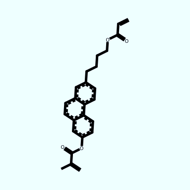 C=CC(=O)OCCCCc1ccc2c(ccc3cc(OC(=O)C(=C)C)ccc32)c1